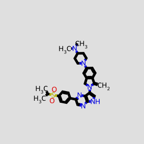 C=C1c2ccc(N3CCC(N(C)C)CC3)cc2CN1c1c[nH]c2ncc(-c3ccc(S(=O)(=O)C(C)C)cc3)nc12